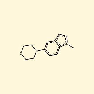 Cn1ccc2cc(N3CCOCC3)ccc21